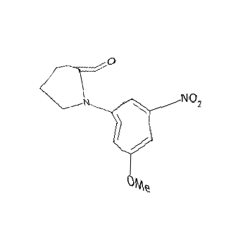 COc1cc(N2CCCC2=O)cc([N+](=O)[O-])c1